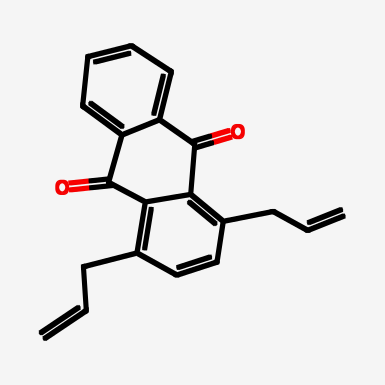 C=CCc1ccc(CC=C)c2c1C(=O)c1ccccc1C2=O